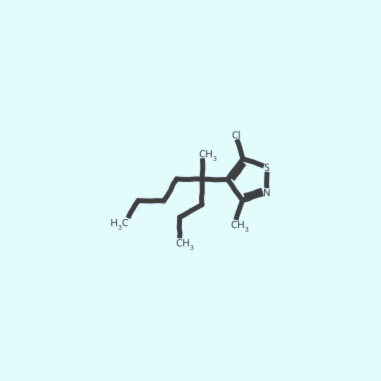 CCCCC(C)(CCC)c1c(C)nsc1Cl